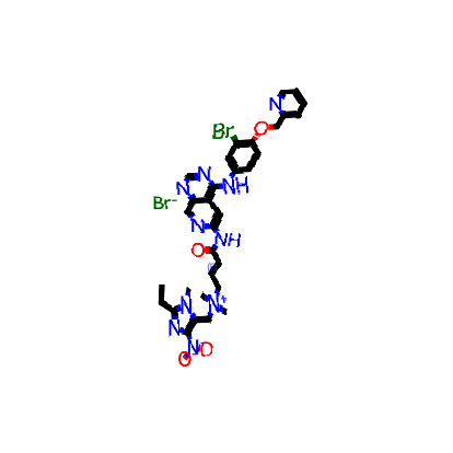 CCc1nc([N+](=O)[O-])c(C[N+](C)(C)C/C=C/C(=O)Nc2cc3c(Nc4ccc(OCc5ccccn5)c(Br)c4)ncnc3cn2)n1C.[Br-]